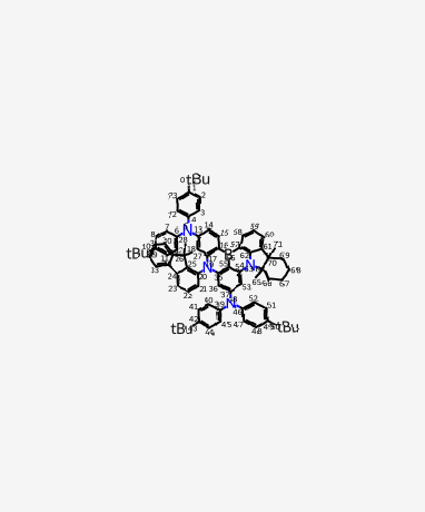 CC(C)(C)c1ccc(N(c2ccc(C(C)(C)C)cc2)c2ccc3c(c2)N(c2cccc4c2C(C)(C)c2ccccc2-4)c2cc(N(c4ccc(C(C)(C)C)cc4)c4ccc(C(C)(C)C)cc4)cc4c2B3c2cccc3c2N4C2(C)CCCCC32C)cc1